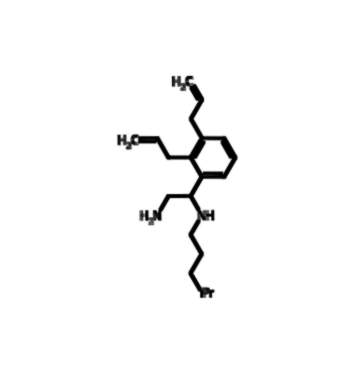 C=CCc1cccc(C(CN)NCCCC(C)C)c1CC=C